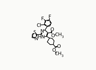 COC(=O)C1=C(C2CCC(C(=O)OC)CC2)NC(c2nccs2)=NC1c1ccc(F)c(F)c1Cl